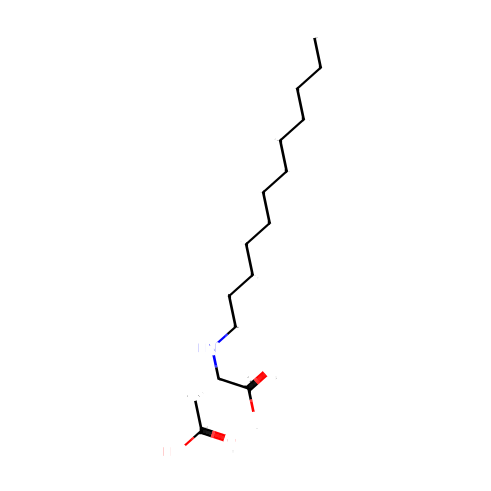 CCCCCCCCCCCCN[C@@H](CC(=O)O)C(=O)O